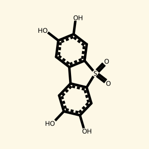 O=S1(=O)c2cc(O)c(O)cc2-c2cc(O)c(O)cc21